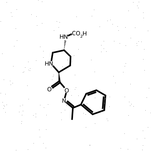 C/C(=N/OC(=O)[C@@H]1CC[C@@H](NC(=O)O)CN1)c1ccccc1